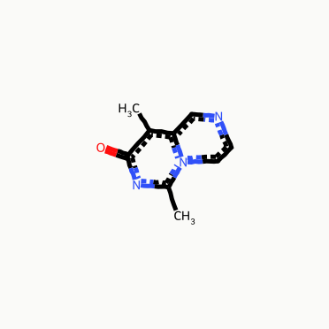 Cc1c(=O)nc(C)n2ccncc12